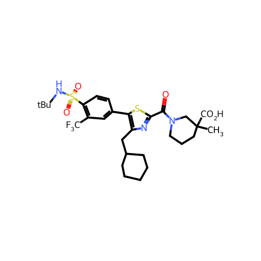 CC(C)(C)NS(=O)(=O)c1ccc(-c2sc(C(=O)N3CCCC(C)(C(=O)O)C3)nc2CC2CCCCC2)cc1C(F)(F)F